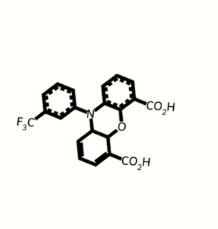 O=C(O)C1=CC=CC2C1Oc1c(C(=O)O)cccc1N2c1cccc(C(F)(F)F)c1